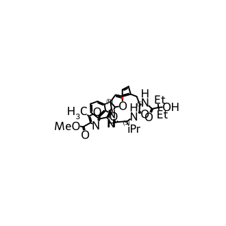 CCC(O)(CC)C(=O)N[C@H]1Cc2ccc3c(c2)[C@@]2(c4ccccc4NC2O3)c2oc(nc2-c2nc(C(=O)OC)c(C)o2)[C@H](C(C)C)NC1=O